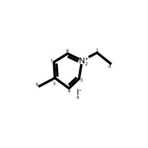 CC[n+]1ccc(C)cc1.[I-]